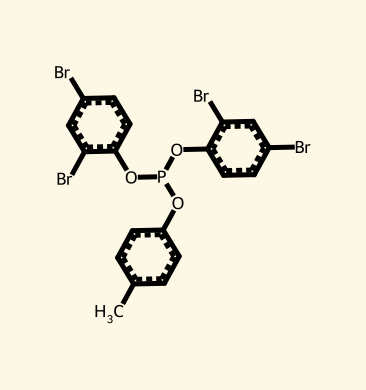 Cc1ccc(OP(Oc2ccc(Br)cc2Br)Oc2ccc(Br)cc2Br)cc1